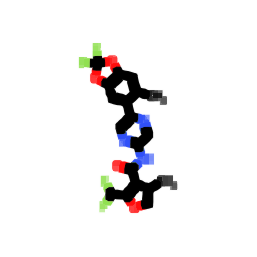 Cc1cc2c(cc1-c1cnc(NC(=O)c3c(C)coc3C(F)F)cn1)OC(F)(F)O2